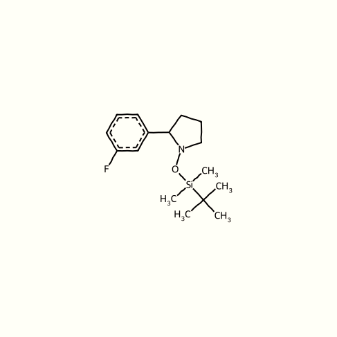 CC(C)(C)[Si](C)(C)ON1CCCC1c1cccc(F)c1